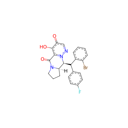 O=C1c2c(O)c(=O)cnn2[C@@H](C(c2ccc(F)cc2)c2ccccc2Br)[C@H]2CCCN12